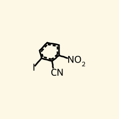 N#Cc1c(I)cccc1[N+](=O)[O-]